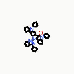 O=c1c2c3cc4c(cc3n(-c3nc(-c5ccccc5)c5ccccc5n3)c2c2ccccc2n1-c1ccccc1)c1ccccc1n4-c1ccccc1